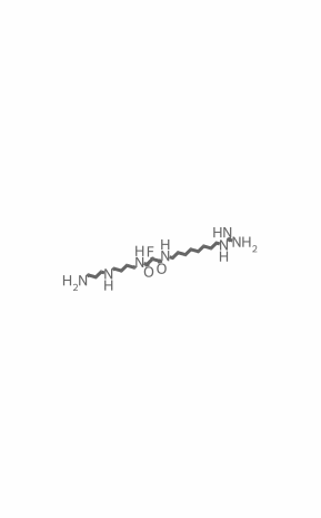 N=C(N)NCCCCCCCCNC(=O)C(F)C(=O)NCCCCNCCCN